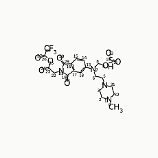 CN1CCN(CCN(CO[SH](=O)=O)c2ccc3c(c2)C(=O)N(CC(=O)OC(=O)C(F)(F)F)C3=O)CC1